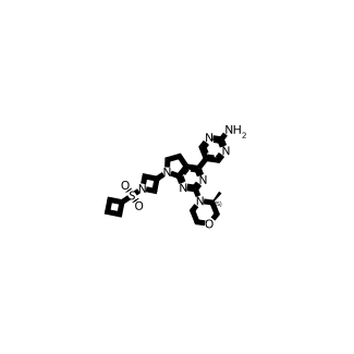 C[C@H]1COCCN1c1nc(-c2cnc(N)nc2)c2c(n1)N(C1CN(S(=O)(=O)C3CCC3)C1)CC2